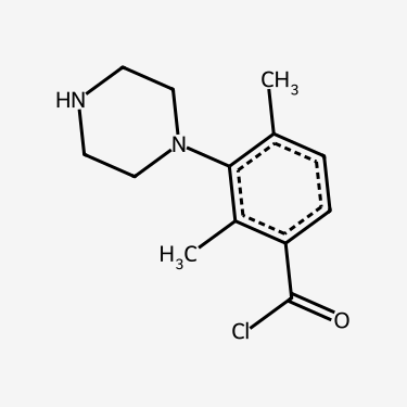 Cc1ccc(C(=O)Cl)c(C)c1N1CCNCC1